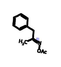 CC(=O)O/N=C(\C)Cc1ccccc1